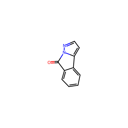 O=C1c2ccccc2-c2ccnn21